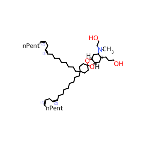 CCCCC/C=C\C/C=C\CCCCCCCCC1(CCCCCCCC/C=C\C/C=C\CCCCC)CCC2(CC1)O[C@H]1CC(N(C)CCO)[C@@H](CCCO)C[C@@H]1O2